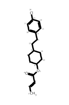 CC=CC(=O)OC1CCC(CCc2ccc(Cl)cc2)CC1